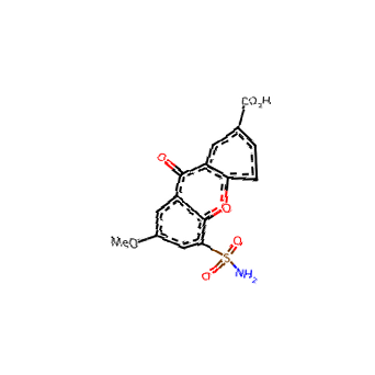 COc1cc(S(N)(=O)=O)c2oc3ccc(C(=O)O)cc3c(=O)c2c1